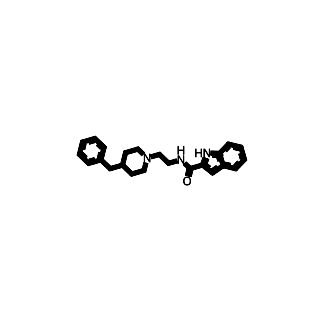 O=C(NCCN1CCC(Cc2ccccc2)CC1)c1cc2ccccc2[nH]1